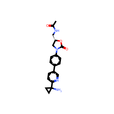 CC(=O)NC[C@H]1CN(c2ccc(-c3ccc(C4(N)CC4)nc3)cc2)C(=O)O1